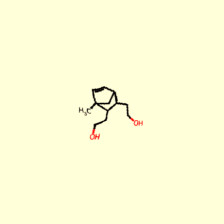 CC12C=CC(C1)C(CCO)C2CCO